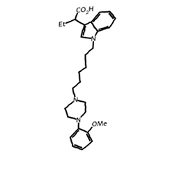 CCC(C(=O)O)c1cn(CCCCCCN2CCN(c3ccccc3OC)CC2)c2ccccc12